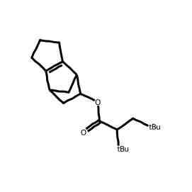 CC(C)(C)CC(C(=O)OC1CC2CC1C1=C2CCC1)C(C)(C)C